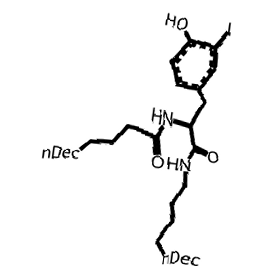 CCCCCCCCCCCCCCNC(=O)C(Cc1ccc(O)c(I)c1)NC(=O)CCCCCCCCCCCCC